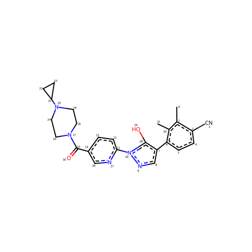 Cc1c(C#N)ccc(-c2cnn(-c3ccc(C(=O)N4CCN(C5CC5)CC4)cn3)c2O)c1C